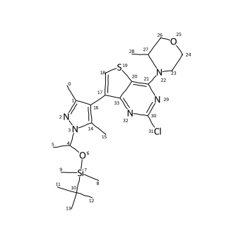 Cc1nn(C(C)O[Si](C)(C)C(C)(C)C)c(C)c1-c1csc2c(N3CCOCC3C)nc(Cl)nc12